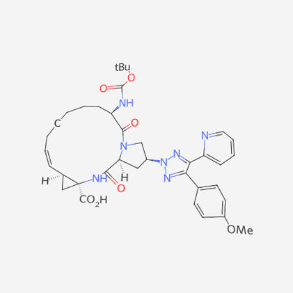 COc1ccc(-c2nn([C@H]3C[C@H]4C(=O)N[C@@]5(C(=O)O)C[C@H]5/C=C\CCCCC[C@@H](NC(=O)OC(C)(C)C)C(=O)N4C3)nc2-c2ccccn2)cc1